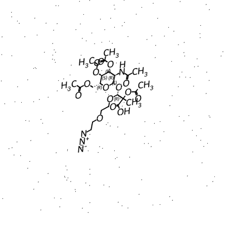 CC(=O)N[C@H]1[C@H](O[C@@H](OCCOCCN=[N+]=[N-])C(C)(OC(C)=O)C(=O)O)O[C@H](COC(C)=O)[C@@H](OC(C)=O)[C@@H]1OC(C)=O